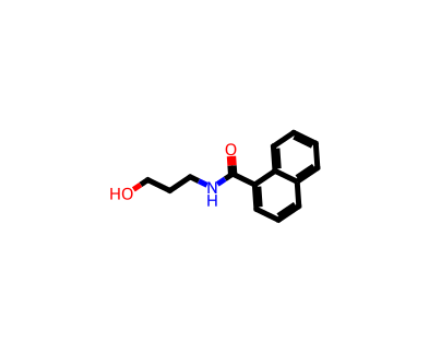 O=C(NCCCO)c1cccc2ccccc12